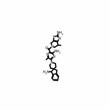 Cc1nc(C(=O)N2Cc3sc(N)nc3C(C)C2)c(N)nc1N1CCC2(CC1)Cc1ccccc1C2N